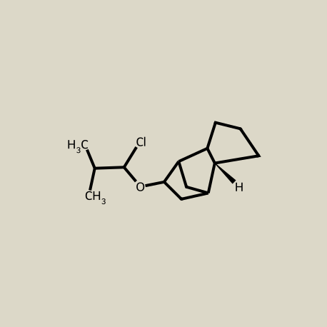 CC(C)C(Cl)OC1CC2CC1C1CCC[C@H]21